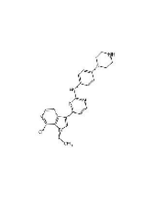 CCn1cc(-c2ccnc(Nc3ccc(N4CCNCC4)cc3)n2)c2ccnc(Cl)c21